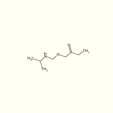 CCC(=O)COCNC(C)C